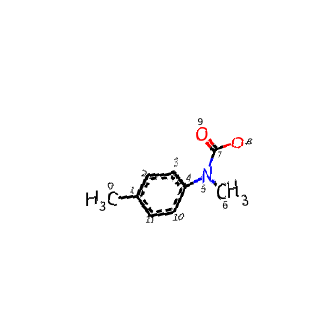 Cc1ccc(N(C)C([O])=O)cc1